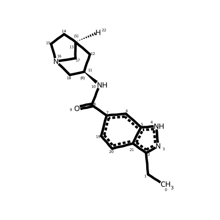 CCc1n[nH]c2cc(C(=O)N[C@@H]3C[C@@H]4CCN(C4)C3)ccc12